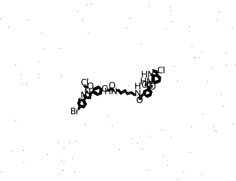 O=C(COc1ccc(C2CC(c3ccc(Br)cc3)=NN2C(=O)CCl)cc1)NCCCCCCNC(=O)c1cccc(S(=O)(=O)Nc2cccc3c(Cl)c[nH]c23)c1